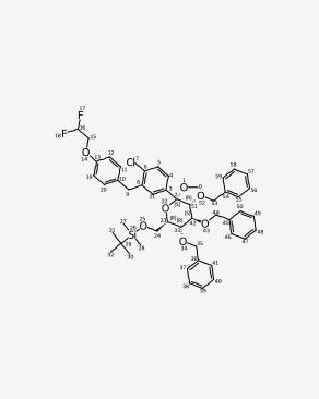 CO[C@@]1(c2ccc(Cl)c(Cc3ccc(OCC(F)F)cc3)c2)O[C@H](CO[Si](C)(C)C(C)(C)C)[C@@H](OCc2ccccc2)[C@H](OCc2ccccc2)[C@H]1OCc1ccccc1